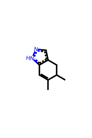 CC1=Cc2[nH]ncc2CC1C